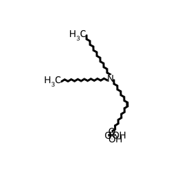 CCCCCCCCCCCCCCCCN(CCCCCCCC/C=C\CCCCCCCCOP(=O)(O)O)CCCCCCCCCCCCCCCC